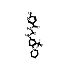 O=C(NC(=S)Nc1ccc(N2CCCCC2)c(C(F)(F)F)c1)c1ccc(O)nc1